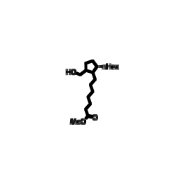 CCCCCC[C@@H]1CCC(CO)C1CCCCCCC(=O)OC